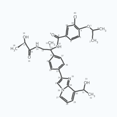 CC(C)Oc1ccc(C(=O)N[C@](C)(CNC(=O)[C@@H](C)O)c2ccc(-c3cn4cccc(C(C)O)c4n3)cc2)cc1Cl